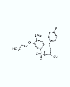 CCCCC1CC(c2ccc(F)cc2)c2cc(SC)c(O/C=C/C(=O)O)cc2S(=O)(=O)N1